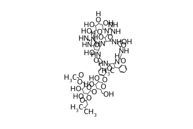 CC(=O)OCC1OC(OC2C(CO)OC(Oc3ccc(CC4NC(=O)C(C(C)c5ccccc5)NC(=O)CNC(=O)C(CO)NC(=O)C(C(O)C5CNC(=N)N5C5OC(CO)C(O)C(O)C5O)NC(=O)C(C(O)C5CNC(=N)N5)NC4=O)cc3)C(O)C2O)C(OC(=O)CC(C)C)C(O)C1O